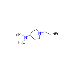 CCCN(C)C1CCN(CCC(C)C)CC1